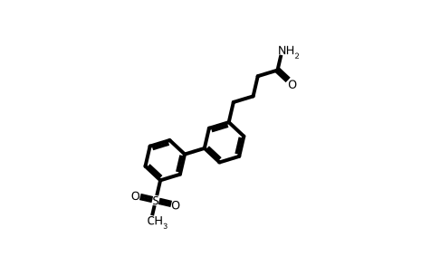 CS(=O)(=O)c1cccc(-c2cccc(CCCC(N)=O)c2)c1